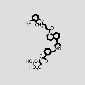 Cc1cccc(OCCCC(=O)N2CCCc3c(-c4cnn(Cc5cccc(C(=O)N[C@@H](CC(=O)O)C(=O)O)c5)c4)cccc32)c1C